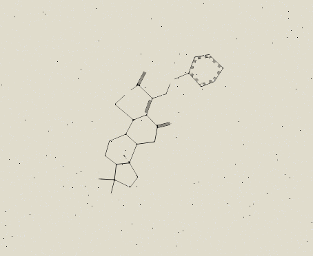 C=C1C[C@@H]2[C@@H](CC[C@@]3(C)[C@H]2CCC3(C)O)[C@@]2(C)CCC(=O)C(CSc3ccccc3)=C12